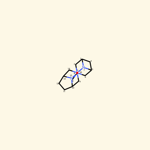 CN1CC2CC(C1)N2N1CC2CCC(C1)N2C